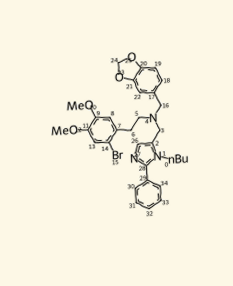 CCCCn1c(CN(CCc2cc(OC)c(OC)cc2Br)Cc2ccc3c(c2)OCO3)cnc1-c1ccccc1